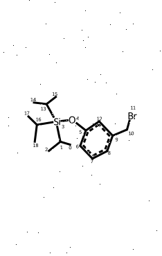 CC(C)[Si](Oc1cccc(CBr)c1)(C(C)C)C(C)C